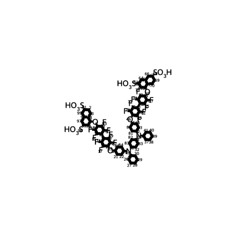 O=S(=O)(O)c1ccc2c(Oc3c(F)c(F)c(-c4c(F)c(F)c(Oc5ccc(N(c6ccccc6)c6ccc(N(c7ccccc7)c7ccc(Oc8c(F)c(F)c(-c9c(F)c(F)c(Oc%10cc(S(=O)(=O)O)cc%11cc(S(=O)(=O)O)ccc%10%11)c(F)c9F)c(F)c8F)cc7)cc6)cc5)c(F)c4F)c(F)c3F)cc(S(=O)(=O)O)cc2c1